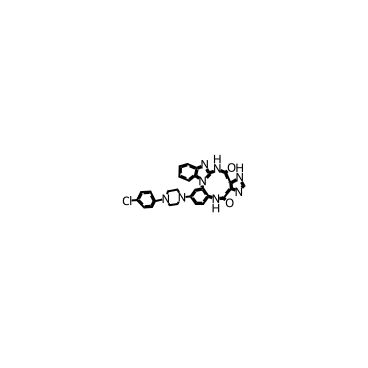 O=c1[nH]c2ccc(N3CCN(c4ccc(Cl)cc4)CC3)cc2n2c(nc3ccccc32)[nH]c(=O)c2[nH]cnc12